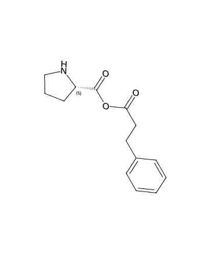 O=C(CCc1ccccc1)OC(=O)[C@@H]1CCCN1